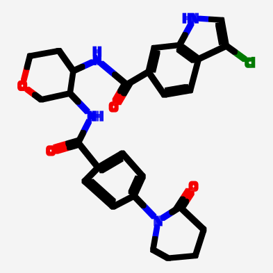 O=C(NC1CCOCC1NC(=O)c1ccc(N2CCCCC2=O)cc1)c1ccc2c(Cl)c[nH]c2c1